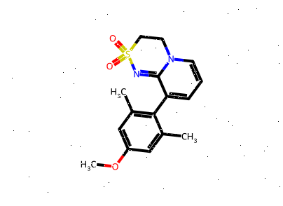 COc1cc(C)c(C2=CC=CN3CCS(=O)(=O)N=C23)c(C)c1